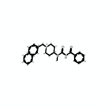 CN(C(=O)NC(=O)c1ccccc1)C1CCN(Cc2ccc3ccccc3c2)CC1